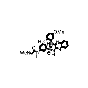 CNCC(=O)Nc1cccc(S(=O)(=O)Nc2nc3ccccc3nc2Nc2cc(OC)ccc2C)c1